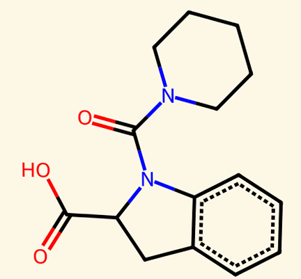 O=C(O)C1Cc2ccccc2N1C(=O)N1CCCCC1